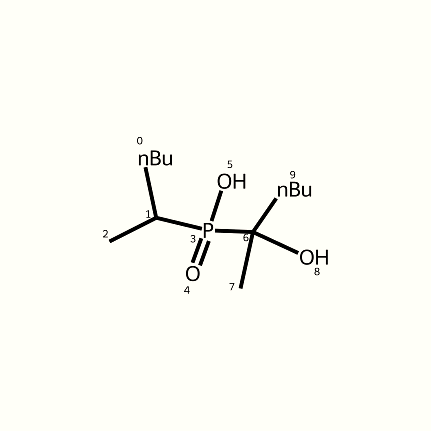 CCCCC(C)P(=O)(O)C(C)(O)CCCC